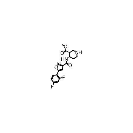 COC(=O)[C@H]1CNCC[C@@H]1NC(=O)c1cc(-c2ccc(F)cc2F)on1